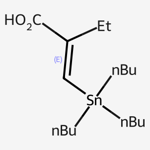 CCC[CH2][Sn](/[CH]=C(\CC)C(=O)O)([CH2]CCC)[CH2]CCC